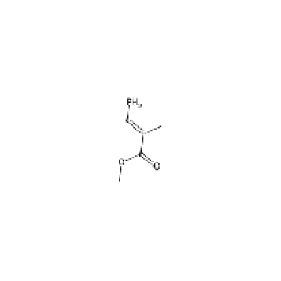 COC(=O)C(C)=CP